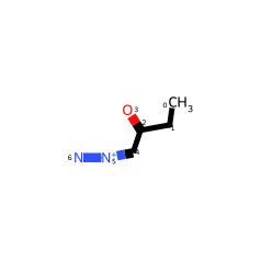 CCC(=O)[C]=[N+]=[N-]